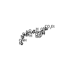 CCOC(=O)c1nc(NC(=O)[C@@H](CCNC(=O)c2cc(NC(=O)c3nc(NC(=O)c4cc(NC(=O)c5cccn5C)cn4C)cn3C)cn2C)NC(=O)OC(C)(C)C)cn1C